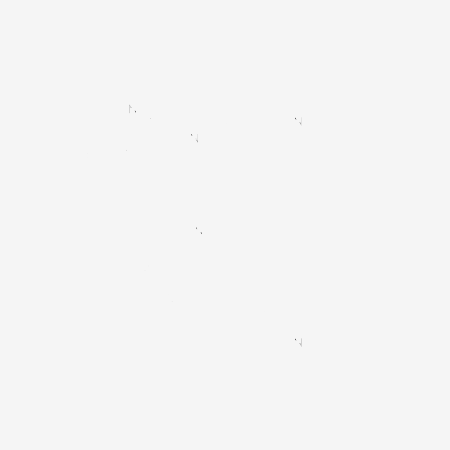 CC(=O)C1=CC(C(N)=O)=C(N2CCCC2CN(C)C)CN1c1ccc2nc(O)cc(C)c2c1